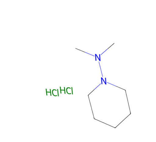 CN(C)N1CCCCC1.Cl.Cl